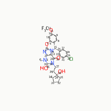 CN1c2nc(Oc3cccc(OC(F)(F)F)c3)n(Cc3ccc(Cl)cc3)c2C(=O)N(CCC2(O)CCCC2)C1O